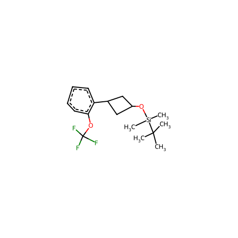 CC(C)(C)[Si](C)(C)OC1CC(c2ccccc2OC(F)(F)F)C1